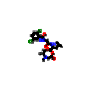 CC(C)C[C@H](NC(=O)CNC(=O)c1cc(Cl)ccc1Cl)B1OC[C@@H](C)N(C)CC(=O)O1